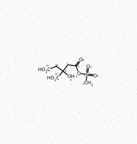 CS(=O)(=O)OC(=O)CC(O)(CC(=O)O)C(=O)O